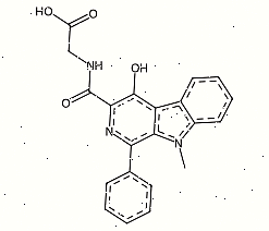 Cn1c2ccccc2c2c(O)c(C(=O)NCC(=O)O)nc(-c3ccccc3)c21